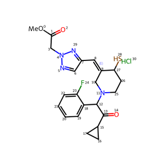 COC(=O)Cn1ncc(/C=C2\CN(C(C(=O)C3CC3)c3ccccc3F)CCC2S)n1.Cl